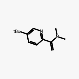 C=C(c1ccc(C(C)(C)C)cn1)N(C)C